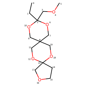 CCC1(COC)OCC2(CO1)COC1(CCOC1)OC2